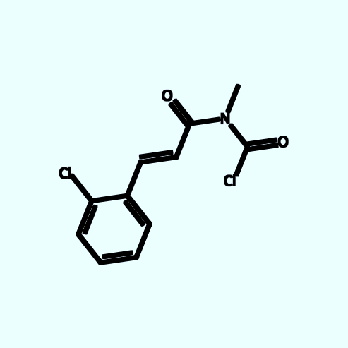 CN(C(=O)Cl)C(=O)C=Cc1ccccc1Cl